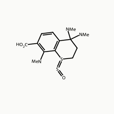 CNc1c(C(=O)O)ccc2c1S(=S=O)CCC2(NC)NC